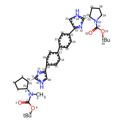 CN(C(=O)OC(C)(C)C)[C@H]1CCC[C@@H]1c1nc(-c2ccc(-c3ccc(-c4c[nH]c([C@@H]5CCCN5C(=O)OC(C)(C)C)n4)cc3)cc2)c[nH]1